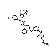 COCCNC(=O)Nc1cc(Oc2ccc(NC(=O)Nc3cc(C(C)(C)C)nn3-c3ccc(C)cc3)c3ccccc23)ccn1